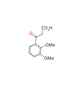 COc1cccc(C(=O)CC(=O)O)c1OC